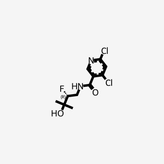 CC(C)(O)[C@H](F)CNC(=O)c1cnc(Cl)cc1Cl